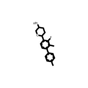 CCCC1CCC(c2ccc(-c3ccc(C)cc3)c(C)c2F)OC1